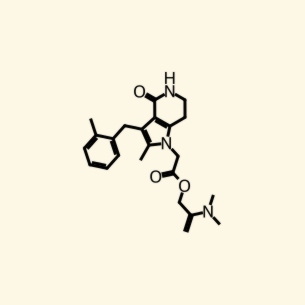 C=C(COC(=O)Cn1c(C)c(Cc2ccccc2C)c2c1CCNC2=O)N(C)C